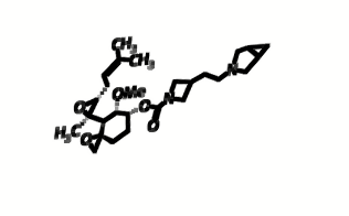 CO[C@@H]1[C@H](OC(=O)N2CC(CCN3CC4CC4C3)C2)CC[C@]2(CO2)[C@H]1[C@@]1(C)O[C@@H]1CC=C(C)C